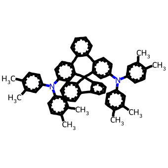 Cc1ccc(N(c2ccc(C)c(C)c2)c2ccc3c(c2)C2(c4cc(N(c5ccc(C)c(C)c5)c5ccc(C)c(C)c5)ccc4-c4ccccc4-3)c3ccccc3-c3ccccc32)cc1C